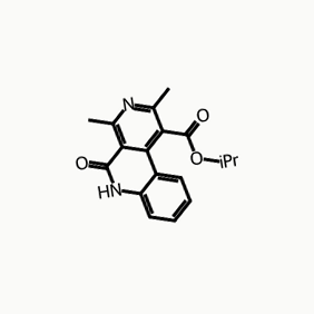 Cc1nc(C)c2c(=O)[nH]c3ccccc3c2c1C(=O)OC(C)C